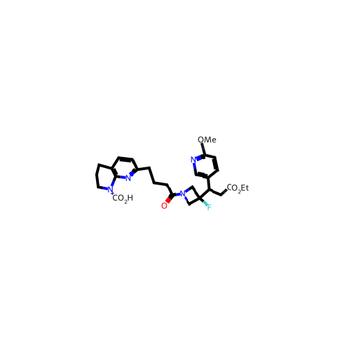 CCOC(=O)CC(c1ccc(OC)nc1)C1(F)CN(C(=O)CCCc2ccc3c(n2)N(C(=O)O)CCC3)C1